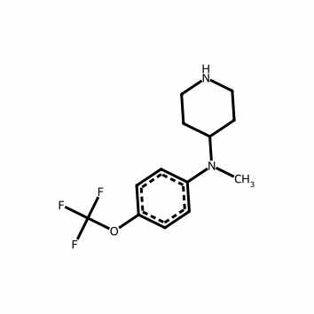 CN(c1ccc(OC(F)(F)F)cc1)C1CCNCC1